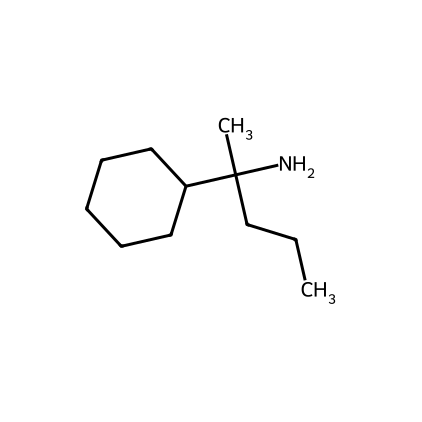 CCCC(C)(N)C1CCCCC1